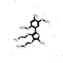 COc1cc(-c2sc(C)c(SCSC)c2SCSC)c(OC)cc1C